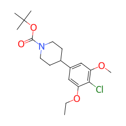 CCOc1cc(C2CCN(C(=O)OC(C)(C)C)CC2)cc(OC)c1Cl